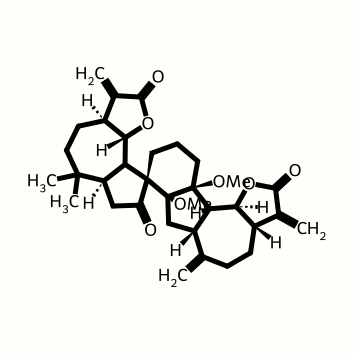 C=C1C(=O)O[C@@H]2[C@@H]3[C@@H](C[C@@]4(OC)[C@]3(OC)CCC[C@]43C(=O)C[C@@H]4C3[C@H]3OC(=O)C(=C)[C@@H]3CCC4(C)C)C(=C)CC[C@@H]12